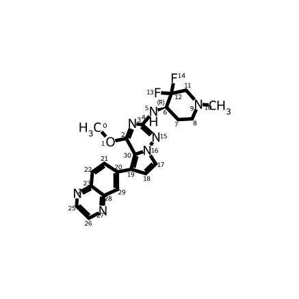 COc1nc(N[C@@H]2CCN(C)CC2(F)F)nn2ccc(-c3ccc4nccnc4c3)c12